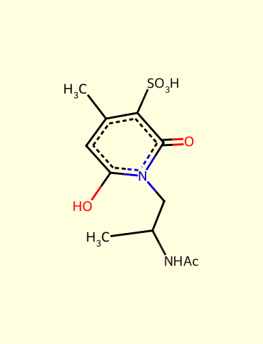 CC(=O)NC(C)Cn1c(O)cc(C)c(S(=O)(=O)O)c1=O